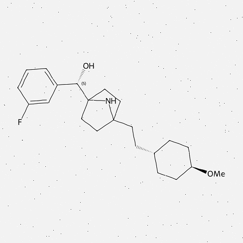 CO[C@H]1CC[C@H](CCC23CCC([C@@H](O)c4cccc(F)c4)(CC2)N3)CC1